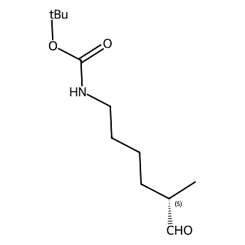 C[C@H](C=O)CCCCNC(=O)OC(C)(C)C